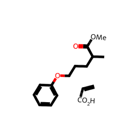 C=CC(=O)O.COC(=O)C(C)CCCOc1ccccc1